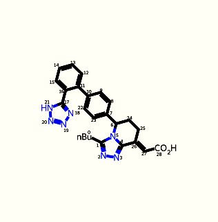 CCCCc1nnc2n1C(c1ccc(-c3ccccc3-c3nnn[nH]3)cc1)CC/C2=C\C(=O)O